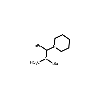 CCCC(N1CCCCC1)N(C(=O)O)C(C)(C)C